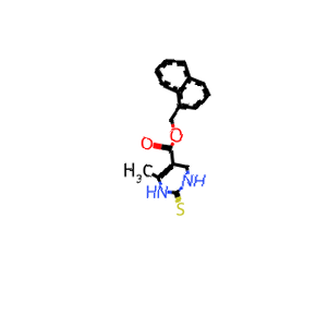 CC1=C(C(=O)OCc2cccc3ccccc23)CNC(=S)N1